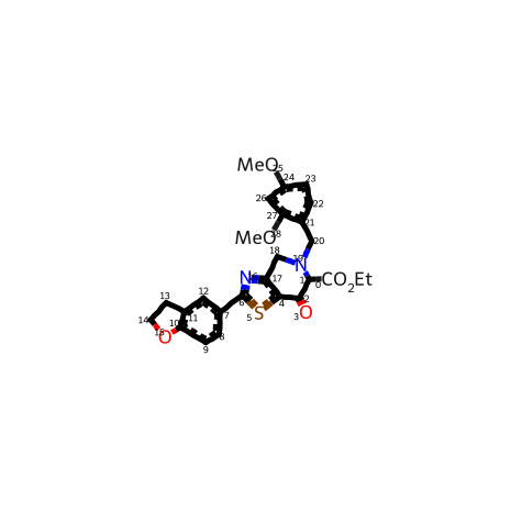 CCOC(=O)C1C(=O)c2sc(-c3ccc4c(c3)CCO4)nc2CN1Cc1ccc(OC)cc1OC